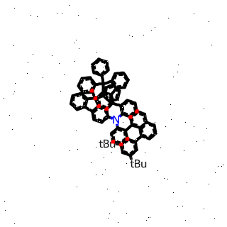 CC(C)(C)c1cc(-c2cccc3cccc(-c4ccccc4N(c4ccc5c(c4)C(C)(c4ccccc4)c4ccccc4-5)c4ccccc4-c4cccc5c4-c4ccccc4C5(c4ccccc4)c4ccccc4)c23)cc(C(C)(C)C)c1